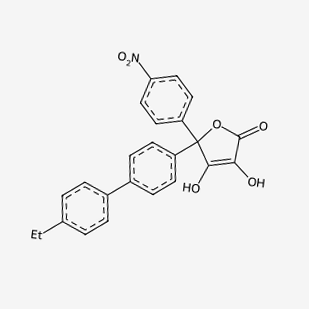 CCc1ccc(-c2ccc(C3(c4ccc([N+](=O)[O-])cc4)OC(=O)C(O)=C3O)cc2)cc1